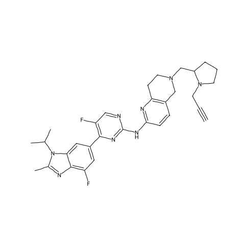 C#CCN1CCCC1CN1CCc2nc(Nc3ncc(F)c(-c4cc(F)c5nc(C)n(C(C)C)c5c4)n3)ccc2C1